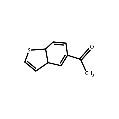 CC(=O)C1=CC2C=CSC2C=C1